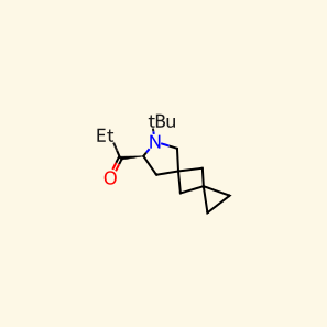 CCC(=O)[C@@H]1CC2(CN1C(C)(C)C)CC1(CC1)C2